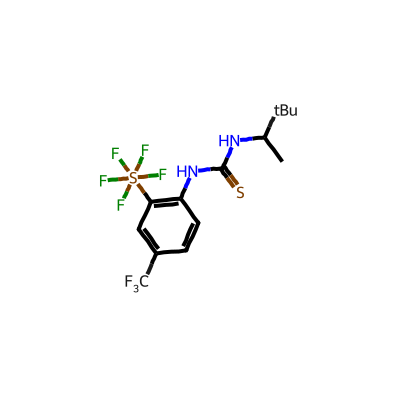 CC(NC(=S)Nc1ccc(C(F)(F)F)cc1S(F)(F)(F)(F)F)C(C)(C)C